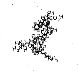 N=C(N)NCCC[C@H](NC(=O)[C@H](CS)NC(=O)[C@@H](N)CCCCN)C(=O)NCC(=O)N[C@@H](CC(=O)O)C(=O)N[C@@H](CS)C(=O)N[C@@H](Cc1ccccc1)C(=O)N[C@@H](CS)C(=O)O